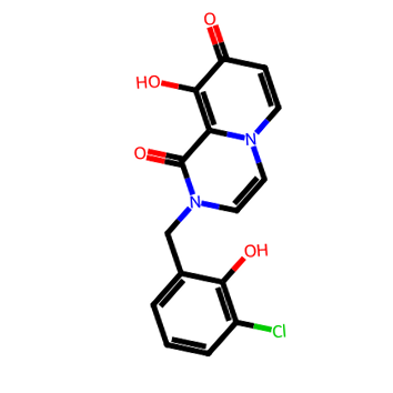 O=c1ccn2ccn(Cc3cccc(Cl)c3O)c(=O)c2c1O